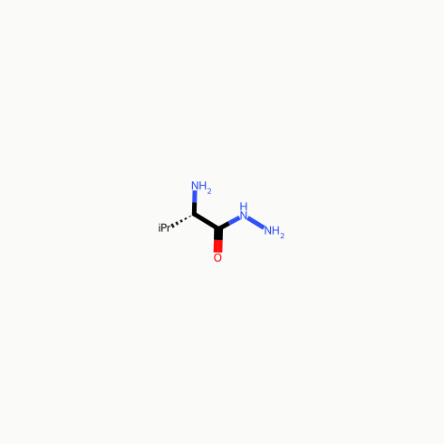 CC(C)[C@H](N)C(=O)NN